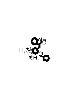 COc1cc(/C=C2/C(=O)Nc3ccccc32)c(OCc2ccccc2)cc1OC